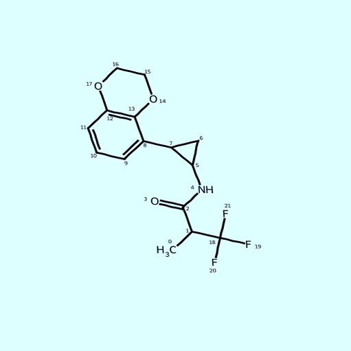 CC(C(=O)NC1CC1c1cccc2c1OCCO2)C(F)(F)F